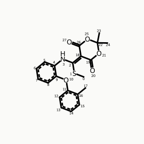 CSC(Nc1ccccc1Oc1ccccc1C)=C1C(=O)OC(C)(C)OC1=O